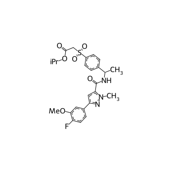 COc1cc(-c2cc(C(=O)NC(C)c3ccc(S(=O)(=O)CC(=O)OC(C)C)cc3)n(C)n2)ccc1F